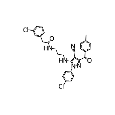 Cc1ccc(C(=O)c2nn(-c3ccc(Cl)cc3)c(NCCCNC(=O)Cc3cccc(Cl)c3)c2C#N)cc1